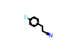 N#CCCc1c[c]c(F)cc1